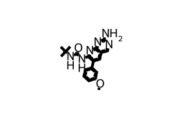 COc1cccc(-c2cc3cnc(N)nc3nc2NC(=O)NC(C)(C)C)c1